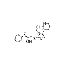 CCn1c(SCC(O)Nc2ccccc2)nnc1-c1cccnc1